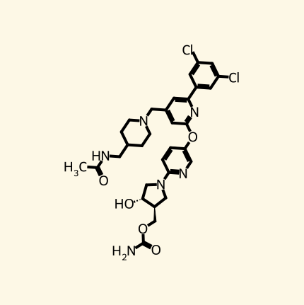 CC(=O)NCC1CCN(Cc2cc(Oc3ccc(N4C[C@@H](COC(N)=O)[C@H](O)C4)nc3)nc(-c3cc(Cl)cc(Cl)c3)c2)CC1